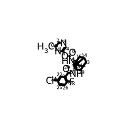 Cc1cncc(OC(=O)NC23CC4CC(C2)CC(NC(=O)c2cc(Cl)ccc2F)(C4)C3)n1